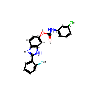 O=C(Nc1cccc(Cl)c1)Oc1ccc2nc(-c3ccccc3F)[nH]c2c1